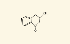 CC1Cc2ccccc2[S+]([O-])C1